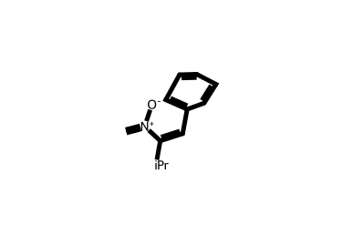 C=[N+]([O-])C(=Cc1ccccc1)C(C)C